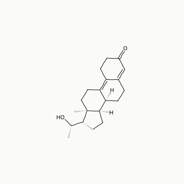 C[C@H](O)[C@H]1CC[C@@H]2[C@@H]3CCC4=CC(=O)CCC4=C3CC[C@]12C